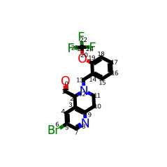 O=CC1c2cc(Br)cnc2CCN1Cc1ccccc1OC(F)(F)F